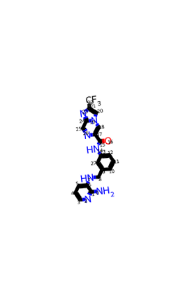 Nc1ncccc1NCc1cccc(NC(=O)c2cn3cc(C(F)(F)F)nc3cn2)c1